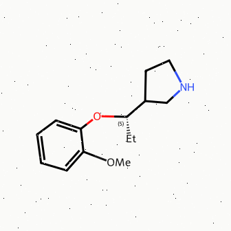 CC[C@H](Oc1ccccc1OC)C1CCNC1